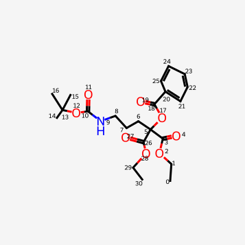 CCOC(=O)C(CCCNC(=O)OC(C)(C)C)(OC(=O)c1ccccc1)C(=O)OCC